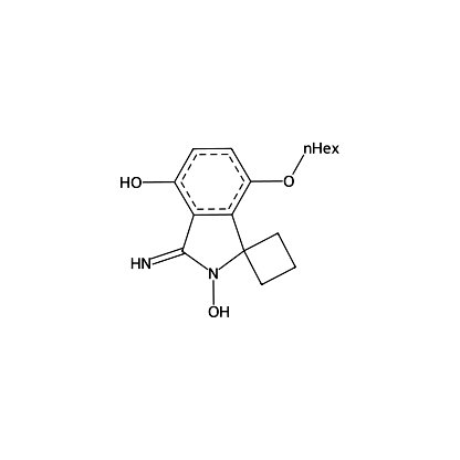 CCCCCCOc1ccc(O)c2c1C1(CCC1)N(O)C2=N